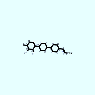 CCC/C=C/C1CCC(C2CCC(C3CCC(C)C(F)C3F)CC2)CC1